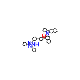 C1=CC2=Cc3c(c4ccccc4n3-c3cc4ccccc4c4c3oc3cc(-c5cccc(C6N=C(c7ccccc7)N=C(c7ccccc7)N6)c5)ccc34)CC2C=C1